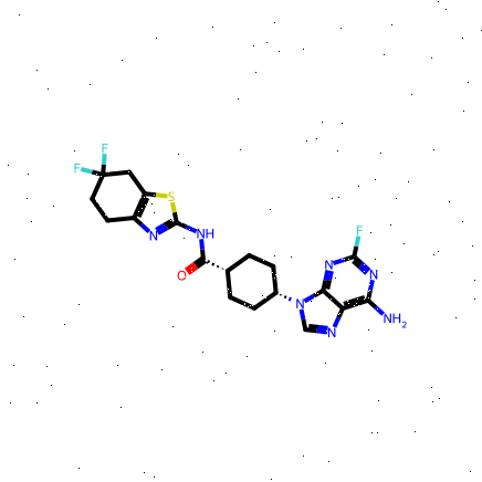 Nc1nc(F)nc2c1ncn2[C@H]1CC[C@@H](C(=O)Nc2nc3c(s2)CC(F)(F)CC3)CC1